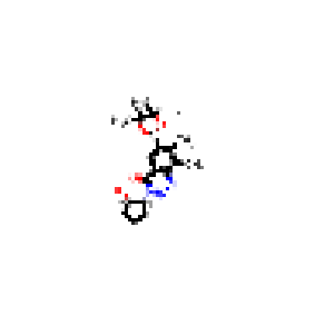 Cc1c(B2OC(C)(C)C(C)(C)O2)cc2c(=O)n([C@@H]3CCC[C@H]3O)nnc2c1C